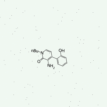 CCCCn1ccc(-c2ccccc2O)c(N)c1=O